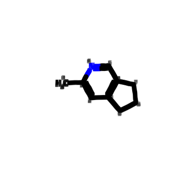 Cc1cc2c(cn1)CCC2